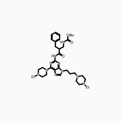 CCN1CCN(CCCn2cnc3c(N4CCN(CC)CC4)nc(NC(=O)C(CNC(=O)OCC(C)C)Cc4ccccc4)nc32)CC1